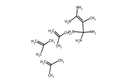 C=C(C)C.C=C(C)C.C=C(C)C.CC(=C(N)N)C(N)(N)N